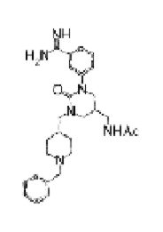 CC(=O)NCC1CN(CC2CCN(Cc3ccccc3)CC2)C(=O)N(c2cccc(C(=N)N)c2)C1